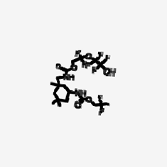 CC(F)(F)COC(=O)NC1CC(C)(C)CC(C)(CNC(=O)OCC(F)(F)OC(F)(F)C(O)(F)F)C1